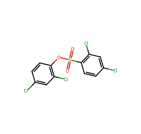 O=S(=O)(Oc1ccc(Cl)cc1Cl)c1ccc(Cl)cc1Cl